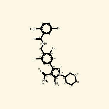 Cc1ccc(F)cc1C(=O)NCc1c(F)cc(-c2nn(C3CCCOC3)c(N)c2C(N)=O)cc1F